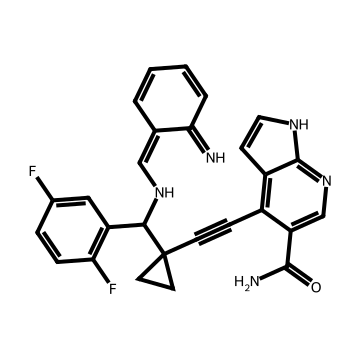 N=C1C=CC=C/C1=C/NC(c1cc(F)ccc1F)C1(C#Cc2c(C(N)=O)cnc3[nH]ccc23)CC1